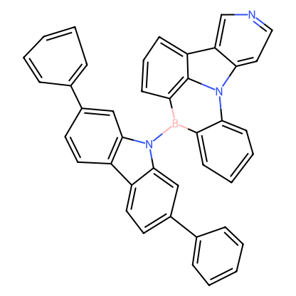 c1ccc(-c2ccc3c4ccc(-c5ccccc5)cc4n(B4c5ccccc5-n5c6ccncc6c6cccc4c65)c3c2)cc1